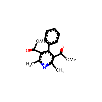 COC(=O)c1c(C)nc(C)c(C(=O)OC)c1-c1ccccc1